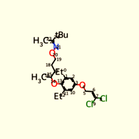 CCc1cc(OCC=C(Cl)Cl)cc(CC)c1OC(C)CCCON=C(C)C(C)(C)C